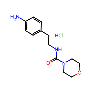 Cl.Nc1ccc(CCNC(=O)N2CCOCC2)cc1